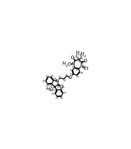 CCN1C(=O)C(C)(C)C(=O)N(C)c2cc(OCCCN3C(=O)C(O)(c4ccccc4)c4ccccc43)ccc21